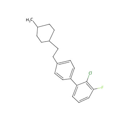 CC1CCC(CCc2ccc(-c3cccc(F)c3Cl)cc2)CC1